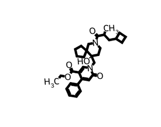 CCOC(=O)c1cn(C[C@]2(O)CCN(C(=O)C(C)CC3CCC3)CC23CCCC3)c(=O)cc1-c1ccccc1